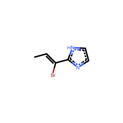 C/C=C(\Br)c1ncc[nH]1